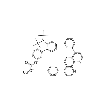 CC(C)(C)P(c1ccccc1-c1ccccc1)C(C)(C)C.O=[N+]([O-])[O-].[Cu+].c1ccc(-c2ccnc3c2ccc2c(-c4ccccc4)ccnc23)cc1